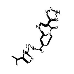 CC(C)c1csc(NC(=O)c2ccn3c(=O)c(-c4nn[nH]n4)cnc3c2)n1